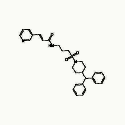 O=C(C=Cc1cccnc1)NCCCS(=O)(=O)N1CCC(C(c2ccccc2)c2ccccc2)CC1